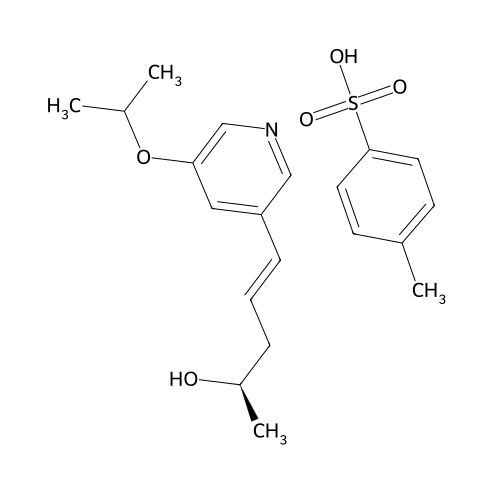 CC(C)Oc1cncc(C=CC[C@@H](C)O)c1.Cc1ccc(S(=O)(=O)O)cc1